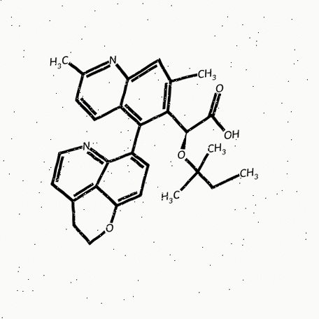 CCC(C)(C)O[C@H](C(=O)O)c1c(C)cc2nc(C)ccc2c1-c1ccc2c3c(ccnc13)CCO2